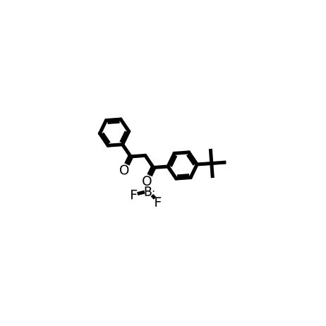 CC(C)(C)c1ccc(C(=O)CC(=O)c2ccccc2)cc1.F[B]F